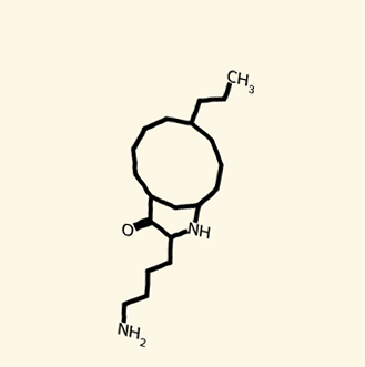 CCCC1CCCCC2CC(CCC1)NC(CCCCN)C2=O